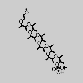 COCCOC(C)C(C)OC(C)C(C)OC(C)C(C)OC(C)C(C)OC(C)C(C)OC(C)C(C)OC(C)C(C)OC(C)C(C)OP(=O)(O)O